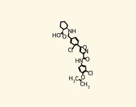 CC(C)Oc1ccc(NC(=O)c2cc(-c3ccc(CN[C@H]4CCCC[C@@H]4C(=O)O)cc3Cl)on2)cc1Cl